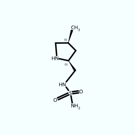 C[C@@H]1CN[C@H](CNS(N)(=O)=O)C1